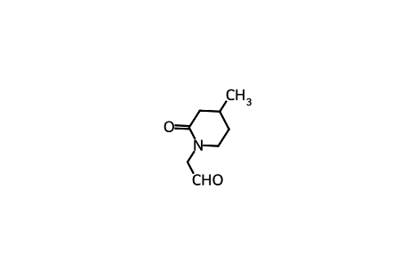 CC1CCN(CC=O)C(=O)C1